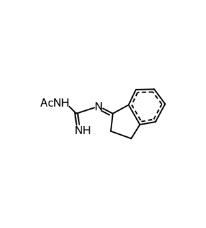 CC(=O)NC(=N)N=C1CCc2ccccc21